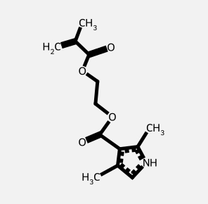 C=C(C)C(=O)OCCOC(=O)c1c(C)c[nH]c1C